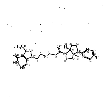 O=C(CCOCCn1nc(C(F)(F)F)c2c(=O)[nH]ncc21)N1CC[C@@H]2[C@H]1CCN2c1ncc(Cl)cn1